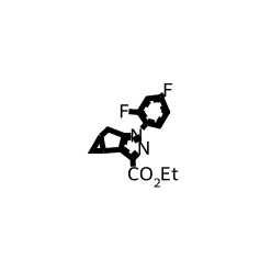 CCOC(=O)c1nn(-c2ccc(F)cc2F)c2c1C1CC1C2